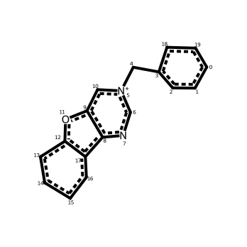 c1ccc(C[n+]2cnc3c(c2)oc2ccccc23)cc1